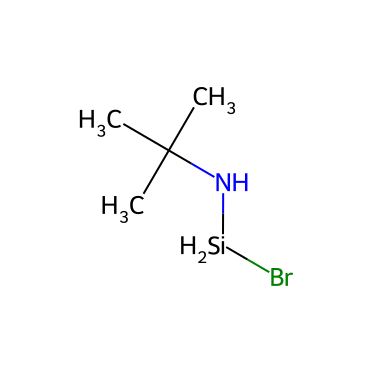 CC(C)(C)N[SiH2]Br